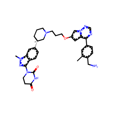 Cc1cc(-c2ncnn3cc(OCCCN4CCC[C@@H](c5ccc6c(N7CCC(=O)NC7=O)nn(C)c6c5)C4)cc23)ccc1CN